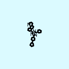 c1ccc(-c2ccc(-c3nc(-c4ccccc4)nc(-c4cccc5c4ccc4cccnc45)n3)cc2)cc1